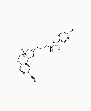 N#Cc1ccc2c(c1)C1CN(CCCNS(=O)(=O)c3ccc(Br)cc3)C[C@H]1CO2